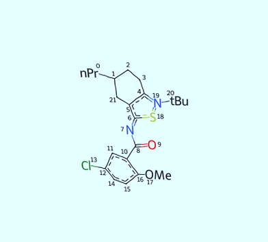 CCCC1CCc2c(c(=NC(=O)c3cc(Cl)ccc3OC)sn2C(C)(C)C)C1